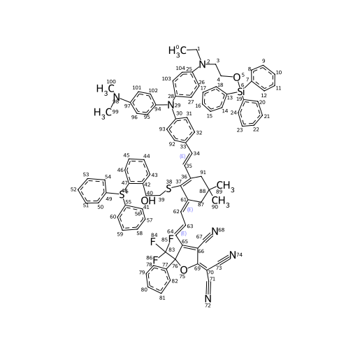 CCN(CCO[Si](c1ccccc1)(c1ccccc1)c1ccccc1)c1ccc(N(c2ccc(/C=C/C3=C(SCC(O)c4ccccc4[S+](c4ccccc4)c4ccccc4)C(=C/C=C/C4=C(C#N)C(=C(C#N)C#N)OC4(c4ccccc4)C(F)(F)F)/CC(C)(C)C3)cc2)c2ccc(N(C)C)cc2)cc1